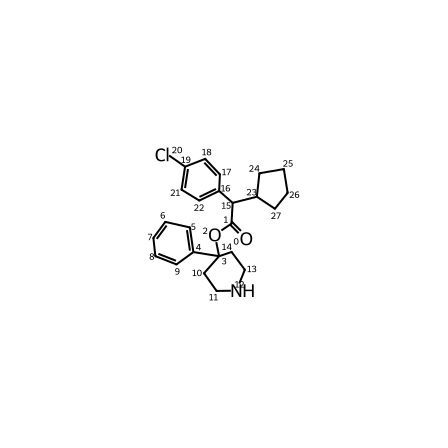 O=C(OC1(c2ccccc2)CCNCC1)C(c1ccc(Cl)cc1)C1CCCC1